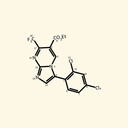 CCOC(=O)c1cn2c(-c3ccc(Cl)cc3Cl)cnc2nc1C(F)(F)F